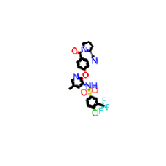 Cc1cnc(Oc2ccc(C(=O)N3CCC[C@H]3C#N)cc2)c(NS(=O)(=O)c2ccc(Cl)c(C(F)(F)F)c2)c1